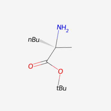 CCCC[C@@](C)(N)C(=O)OC(C)(C)C